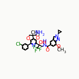 COc1cc(C(=O)NC[C@](O)(c2cc3c(c(-c4cccc(Cl)c4)n2)OC[C@]3(C)C(N)=O)C(F)(F)F)cc2cn(C3CC3)nc12